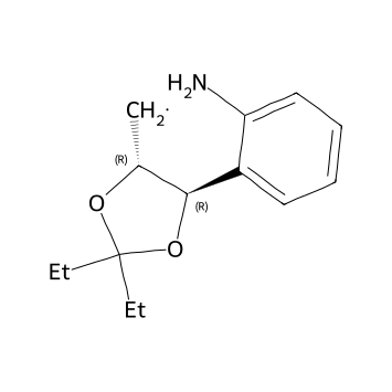 [CH2][C@H]1OC(CC)(CC)O[C@@H]1c1ccccc1N